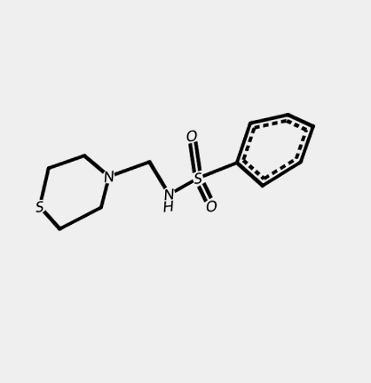 O=S(=O)(NCN1CCSCC1)c1ccccc1